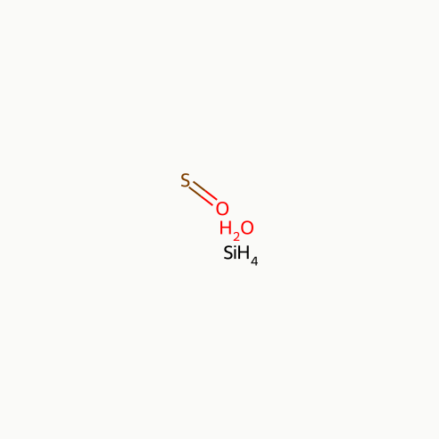 O.O=S.[SiH4]